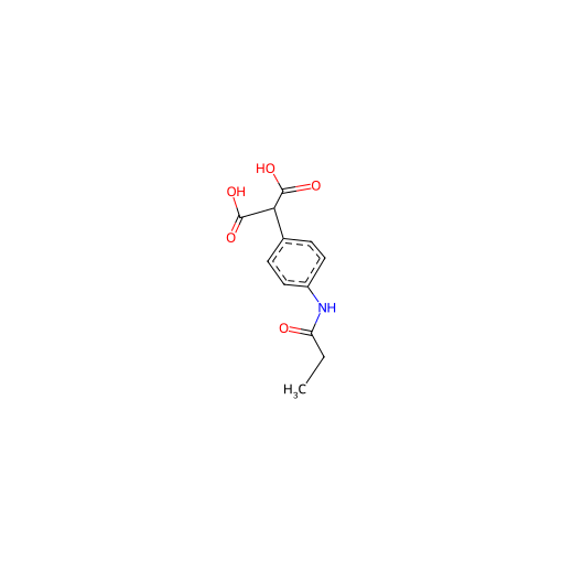 CCC(=O)Nc1ccc(C(C(=O)O)C(=O)O)cc1